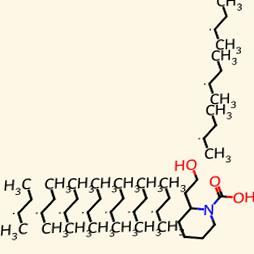 C[CH]CC.C[CH]CC.C[CH]CC.C[CH]CC.C[CH]CC.C[CH]CC.C[CH]CC.C[CH]CC.C[CH]CC.C[CH]CC.O=C(O)N1CCCCC1CCO